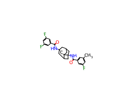 Cc1cc(F)cc(C(=O)NC23CC4CC5(NC(=O)c6cc(F)cc(F)c6)CC(C2)C3(C4)C5)c1